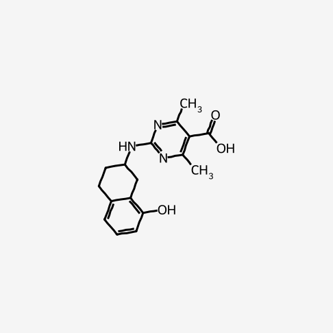 Cc1nc(NC2CCc3cccc(O)c3C2)nc(C)c1C(=O)O